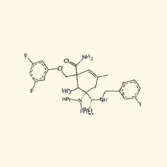 CCCN(CCC)C1(C(CC)NCc2cccc(I)c2)CC(C)=CC(COc2cc(F)cc(F)c2)(C(N)=O)C1O